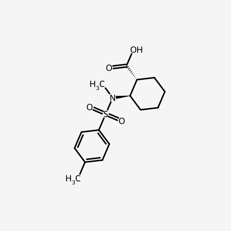 Cc1ccc(S(=O)(=O)N(C)[C@@H]2CCCC[C@H]2C(=O)O)cc1